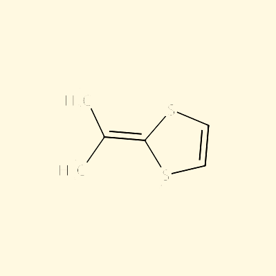 CC(C)=C1SC=CS1